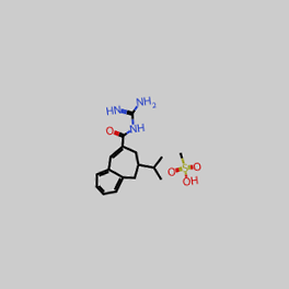 CC(C)C1CC(C(=O)NC(=N)N)=Cc2ccccc2C1.CS(=O)(=O)O